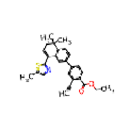 C#Cc1cc(-c2ccc3c(c2)C(c2ncc(C)s2)=CCC3(C)C)ccc1C(=O)OCC